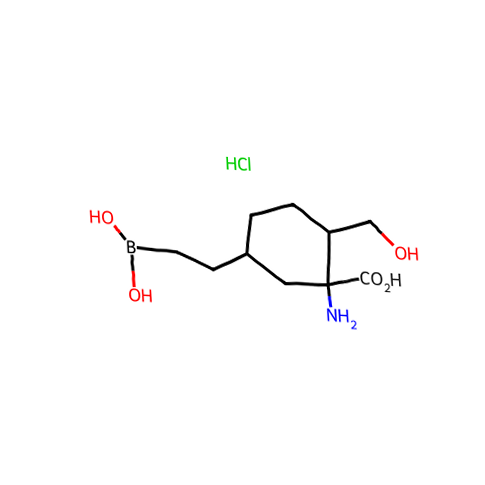 Cl.NC1(C(=O)O)CC(CCB(O)O)CCC1CO